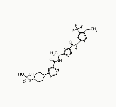 CCc1cnc(NC(=O)c2cnc([C@@H](C)NC(=O)c3cc(N4CCC(SP(=O)(O)O)CC4)ncn3)s2)cc1C(F)(F)F